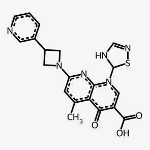 Cc1cc(N2CC(c3cccnc3)C2)nc2c1c(=O)c(C(=O)O)cn2C1NC=NS1